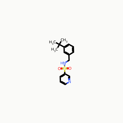 CC(C)(C)c1cccc(CNS(=O)(=O)c2cccnc2)c1